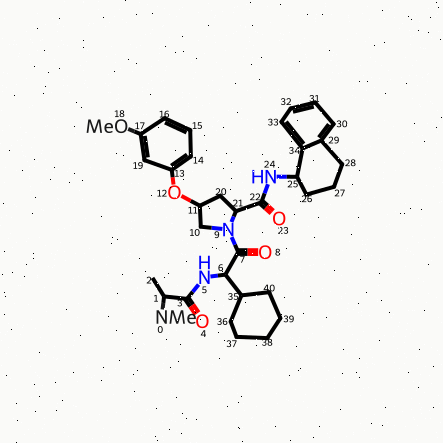 CNC(C)C(=O)NC(C(=O)N1CC(Oc2cccc(OC)c2)CC1C(=O)NC1CCCc2ccccc21)C1CCCCC1